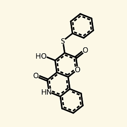 O=c1oc2c(c(O)c1Sc1ccccc1)c(=O)[nH]c1ccccc12